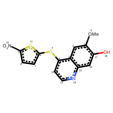 COc1cc2c(Sc3ccc([N+](=O)[O-])s3)ccnc2cc1O